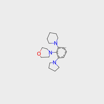 [c]1ccc(N2CCCC2)c(N2CCOCC2)c1N1CCCCC1